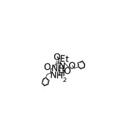 CCC(=O)[C@H](CNC(=O)C(N)Cc1ccccc1)NCC(=O)OCc1ccccc1